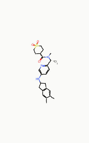 Cc1cc2c(cc1C)CC(Nc1ccc([C@H](N(C)C(=O)C3CCS(=O)(=O)CC3)C(F)(F)F)nc1)C2